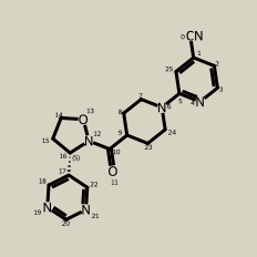 N#Cc1ccnc(N2CCC(C(=O)N3OCC[C@H]3c3cncnc3)CC2)c1